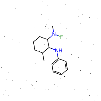 CC1CCCC(N(C)F)C1Nc1ccccc1